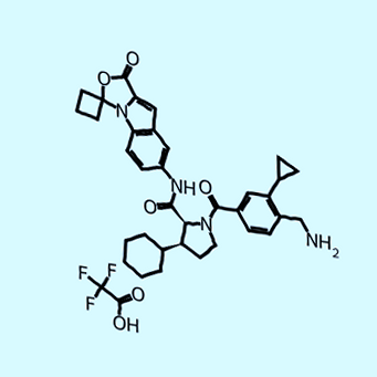 NCc1ccc(C(=O)N2CC[C@@H](C3CCCCC3)[C@H]2C(=O)Nc2ccc3c(c2)cc2n3C3(CCC3)OC2=O)cc1C1CC1.O=C(O)C(F)(F)F